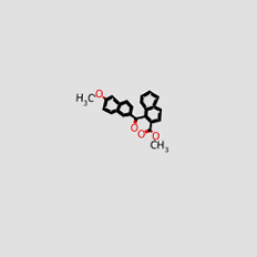 COC(=O)c1ccc2ccccc2c1C(=O)c1ccc2cc(OC)ccc2c1